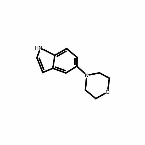 c1cc2cc(N3CCOCC3)ccc2[nH]1